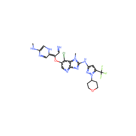 CNC1=CN/C(=C(\C=N)Oc2cnc3nc(Nc4cc(C(F)(F)F)n(C5CCOCC5)n4)n(C)c3c2Cl)C=N1